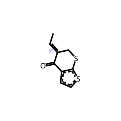 C/C=C1\CSc2sccc2C1=O